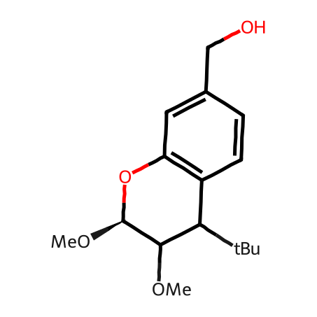 COC1C(C(C)(C)C)c2ccc(CO)cc2O[C@@H]1OC